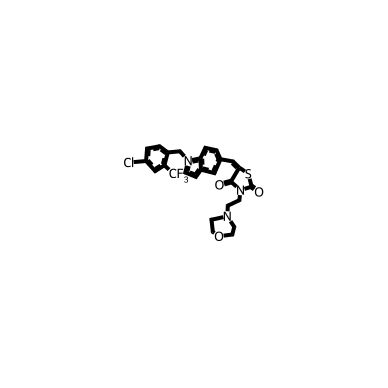 O=C1SC(=Cc2ccc3c(ccn3Cc3ccc(Cl)cc3C(F)(F)F)c2)C(=O)N1CCN1CCOCC1